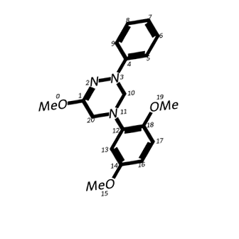 COC1=NN(c2ccccc2)CN(c2cc(OC)ccc2OC)C1